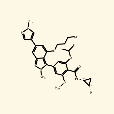 COc1cc(-c2c3c(OCCCO)cc(-c4cnn(C)c4)cc3nn2C)cc(OC(F)F)c1C(=O)N[C@@H]1C[C@@H]1F